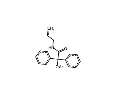 C=CCNC(=O)C(OC(C)=O)(c1ccccc1)c1ccccc1